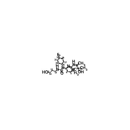 C[C@H](Nc1nccc(N(C(=O)NCCCO)c2ccc(F)cc2)n1)C(C)(C)O